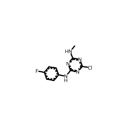 CNc1nc(Cl)nc(Nc2ccc(F)cc2)n1